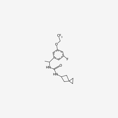 CC(NC(=O)NC1CC2(CC2)C1)c1cc(F)cc(OCC(F)(F)F)c1